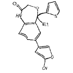 CCC1(c2cccs2)OCC(=O)Nc2ccc(-c3coc(C#N)c3)cc21